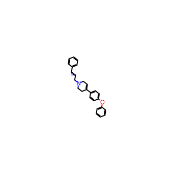 C1=C(c2ccc(Oc3ccccc3)cc2)CCN(C/C=C/c2ccccc2)C1